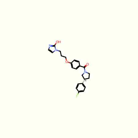 O=C(c1ccc(OCCCn2ccnc2O)cc1)N1CC[C@H](c2ccc(F)cc2)C1